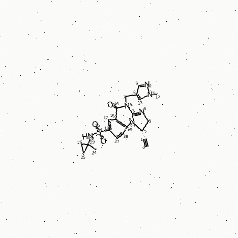 C#C[C@H]1CN=C2N(Cc3cnn(C)c3)C(=O)c3cc(S(=O)(=O)NC4(C)CC4)ccc3N21